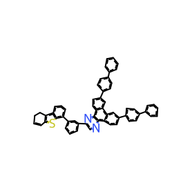 C1=Cc2sc3c(-c4cccc(-c5cnc6c7ccc(-c8ccc(-c9ccccc9)cc8)cc7c7cc(-c8ccc(-c9ccccc9)cc8)ccc7c6n5)c4)cccc3c2CC1